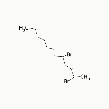 CCCCCCCC(Br)C[CH]C(C)Br